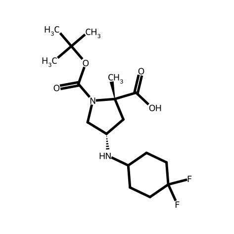 CC(C)(C)OC(=O)N1C[C@@H](NC2CCC(F)(F)CC2)C[C@@]1(C)C(=O)O